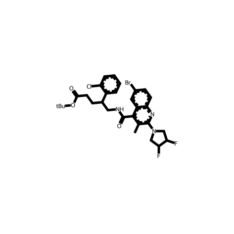 Cc1c(N2CC(F)C(F)C2)nc2ccc(Br)cc2c1C(=O)NCC(CCC(=O)OC(C)(C)C)c1ccccc1Cl